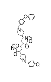 COc1ccc(CN2CCC(C(CCC(CCC3CCN(Cc4ccc(Oc5ccccc5)cc4)CC3)C(=O)c3ncco3)C(=O)c3ncco3)CC2)cc1